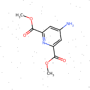 COC(=O)c1cc(N)cc(C(=O)OC)n1